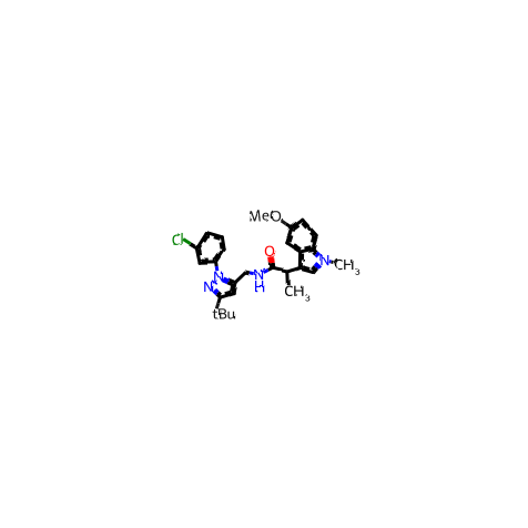 COc1ccc2c(c1)c(C(C)C(=O)NCc1cc(C(C)(C)C)nn1-c1cccc(Cl)c1)cn2C